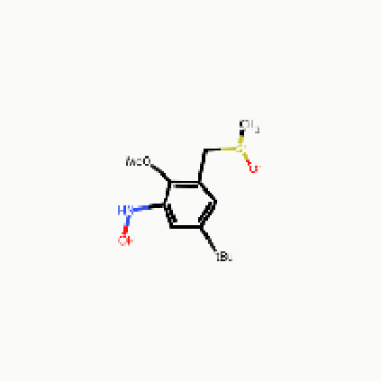 COc1c(C[S+](C)[O-])cc(C(C)(C)C)cc1NO